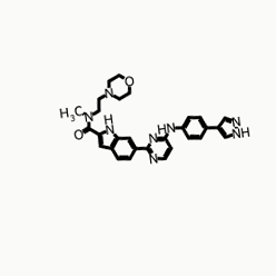 CN(CCN1CCOCC1)C(=O)c1cc2ccc(-c3nccc(Nc4ccc(-c5cn[nH]c5)cc4)n3)cc2[nH]1